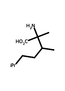 CC(C)CCC(C)C(C)(N)C(=O)O